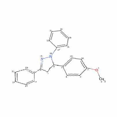 COc1ccc(C2CC(c3ccccc3)=NN2c2ccccc2)cc1